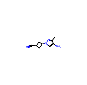 Cc1nn(C2CC(C#N)C2)cc1N